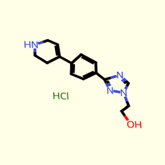 Cl.OCCn1cnc(-c2ccc(C3=CCNCC3)cc2)n1